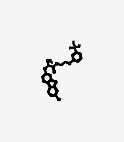 CC(Oc1ccc2c(c1)oc1cc(Br)ccc12)C(=O)OCCOc1cccc(C(F)(F)F)c1